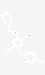 Cc1cc(N=CN2CCOCC2)c(C)cc1Cc1ccc(F)cc1